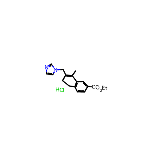 CCOC(=O)c1ccc2c(c1)C(C)=C(Cn1ccnc1)CC2.Cl